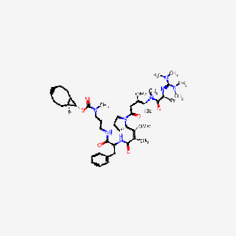 CC[C@H](C)[C@@H]([C@@H](CC(=O)N1CCC[C@H]1[C@H](OC)[C@@H](C)C(=O)N[C@@H](Cc1ccccc1)C(=O)NCCCN(C)C(=O)O[C@H]1C2CCC#CCC[C@@H]21)OC)N(C)C(=O)[C@@H](N=C(N(C)C)N(C)C)C(C)C